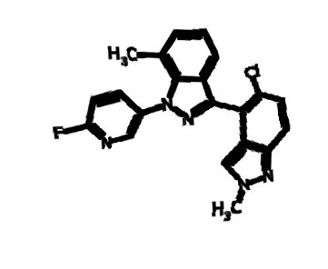 Cc1cccc2c(-c3c(Cl)ccc4nn(C)cc34)nn(-c3ccc(F)nc3)c12